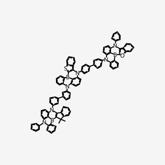 CC1(C)C2=C(c3ccccc31)N(c1cccc(-c3cccc(N4c5ccccc5B5c6sc7ccccc7c6N(c6ccc(-c7ccc(N8c9ccccc9B9c%10oc%11ccccc%11c%10N(c%10ccccc%10)c%10cccc8c%109)cc7)cc6)c6cccc4c65)c3)c1)c1cccc3c1B2c1ccccc1N3c1ccccc1